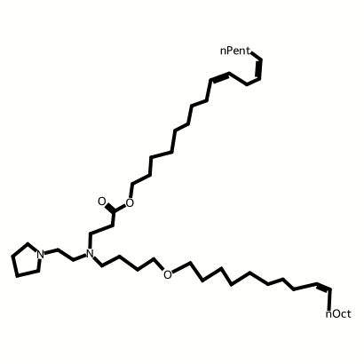 CCCCC/C=C\C/C=C\CCCCCCCCOC(=O)CCN(CCCCOCCCCCCCC/C=C\CCCCCCCC)CCN1CCCC1